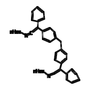 CCCCCCN=C=C(c1ccccc1)c1ccc(Cc2ccc(C(=C=NCCCCCC)c3ccccc3)cc2)cc1